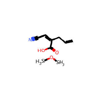 C=CCC(=CC#N)C(=O)O.[SiH3]O[SiH3]